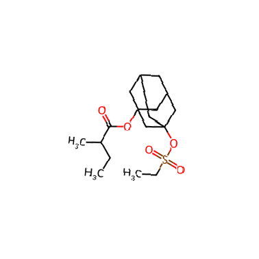 CCC(C)C(=O)OC12CC3CC(C1)CC(OS(=O)(=O)CC)(C3)C2